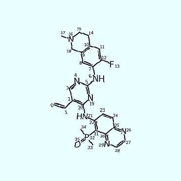 C=Cc1cnc(Nc2cc3c(cc2F)CCN(C)C3)nc1Nc1ccc2nccnc2c1P(C)(C)=O